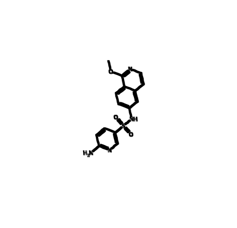 COc1nccc2cc(NS(=O)(=O)c3ccc(N)nc3)ccc12